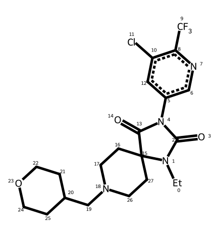 CCN1C(=O)N(c2cnc(C(F)(F)F)c(Cl)c2)C(=O)C12CCN(CC1CCOCC1)CC2